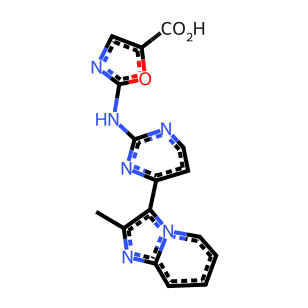 Cc1nc2ccccn2c1-c1ccnc(Nc2ncc(C(=O)O)o2)n1